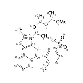 COC(C)OC(C)OC(C)[n+]1c(C)sc2c3ccccc3ccc21.Cc1ccc(S(=O)(=O)[O-])cc1